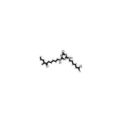 CCCC(C)C(=O)CCCCCNc1nc(Cl)nc(NCCCCCC(C)=O)n1